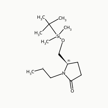 C[CH]CN1C(=O)CC[C@@H]1CO[Si](C)(C)C(C)(C)C